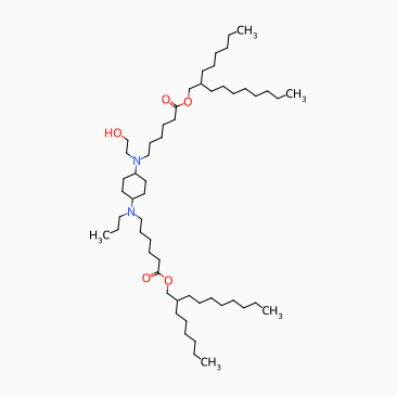 CCCCCCCCC(CCCCCC)COC(=O)CCCCCN(CCC)C1CCC(N(CCO)CCCCCC(=O)OCC(CCCCCC)CCCCCCCC)CC1